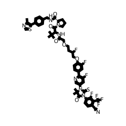 Cc1ncsc1-c1ccc(CNC(=O)[C@@H]2CCCN2C(=O)C(NC(=O)COCCC(F)COc2ccc(-c3ncc(N4C(=S)N(c5ccc(C#N)c(C(F)(F)F)c5F)C(=O)C4(C)C)cc3F)cc2F)C(C)(C)C)cc1